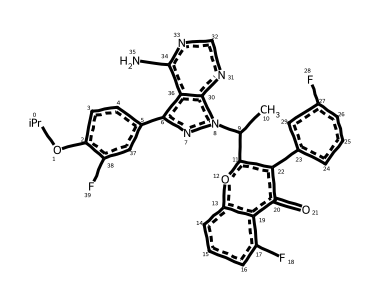 CC(C)Oc1ccc(-c2nn(C(C)c3oc4cccc(F)c4c(=O)c3-c3cccc(F)c3)c3ncnc(N)c23)cc1F